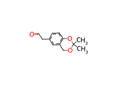 CC1(C)OCc2cc(CC=O)ccc2O1